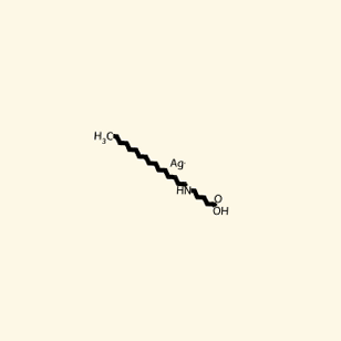 CCCCCCCCCCCCCCCCNCCCCC(=O)O.[Ag]